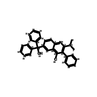 CN(C)c1nc2ccc(C(O)(c3cccnc3)c3cccnc3)cc2c(Cl)c1-c1ccccc1